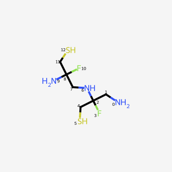 NCC(F)(CS)NCC(N)(F)CS